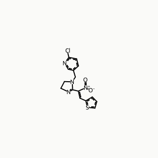 O=[N+]([O-])C(=Cc1cccs1)C1=NCCN1Cc1ccc(Cl)nc1